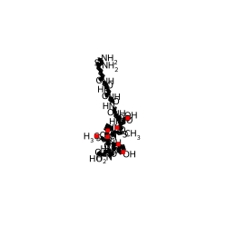 CSCCC(NC(=O)C1CCCN1C(=O)C(CCSC)NC(=O)C(CCC(=O)O)NC(=O)CNC(=O)CNC(=O)CNC(=O)CNC(=O)CNC(=O)CCCCC1SCC(N)C1N)C(=O)NC(Cc1ccc(O)cc1)C(=O)NC(CCC(=O)O)C(N)=O